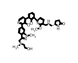 COc1nc(-c2cccc(-c3ccnc(-c4ccc5c(CN(C)CCO)nn(C)c5c4)c3Cl)c2Cl)ccc1CNC[C@@H]1CCC(=O)N1